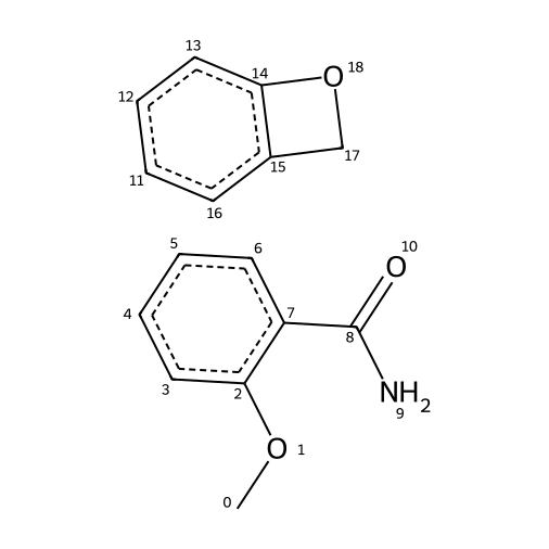 COc1ccccc1C(N)=O.c1ccc2c(c1)CO2